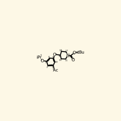 CC(=O)c1cc(OC(C)C)cc(OC2CCN(C(=O)OC(C)(C)C)CC2)c1